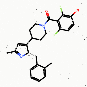 CC1=N[C@@H](Cc2ccccc2C)C(C2CCN(C(=O)c3c(F)ccc(O)c3F)CC2)=C1